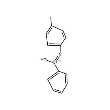 Cc1ccc(/N=[N+](\O)c2ccccc2)cc1